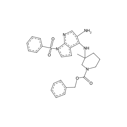 CC1(Nc2c(N)cnc3c2ccn3S(=O)(=O)c2ccccc2)CCCN(C(=O)OCc2ccccc2)C1